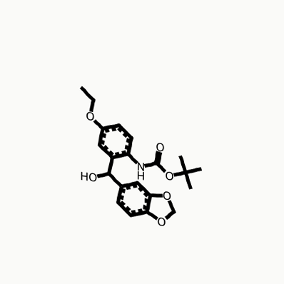 CCOc1ccc(NC(=O)OC(C)(C)C)c(C(O)c2ccc3c(c2)OCO3)c1